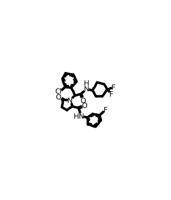 O=C(Nc1cccc(F)c1)C1CCC(=O)N1C(C(=O)NC1CCC(F)(F)CC1)c1ccccc1Cl